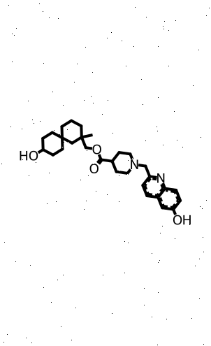 CC1(COC(=O)C2CCN(Cc3ccc4cc(O)ccc4n3)CC2)CCCC2(CCC(O)CC2)C1